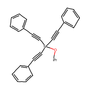 CC(C)O[Si](C#Cc1ccccc1)(C#Cc1ccccc1)C#Cc1ccccc1